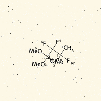 CO[Si](OC)(OC)C(F)(F)C(C)(C)F